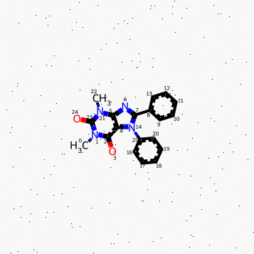 Cn1c(=O)c2c(nc(-c3ccccc3)n2-c2ccccc2)n(C)c1=O